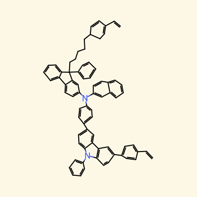 C=CC1=CCC(CCCCCC2(c3ccccc3)c3ccccc3-c3ccc(N(c4ccc(-c5ccc6c(c5)c5cc(-c7ccc(C=C)cc7)ccc5n6-c5ccccc5)cc4)c4ccc5ccccc5c4)cc32)C=C1